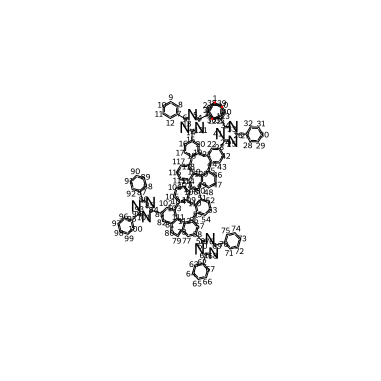 c1ccc(-c2nc(-c3ccccc3)nc(-c3ccc4c(c3)c3cc(-c5nc(-c6ccccc6)nc(-c6ccccc6)n5)ccc3c3cccc5c(-c6cccc7c8cc(-c9nc(-c%10ccccc%10)nc(-c%10ccccc%10)n9)cc9ccc%10cc(-c%11nc(-c%12ccccc%12)nc(-c%12ccccc%12)n%11)cc(c%11ccccc%11c67)c%10c98)cc6cccc4c6c53)n2)cc1